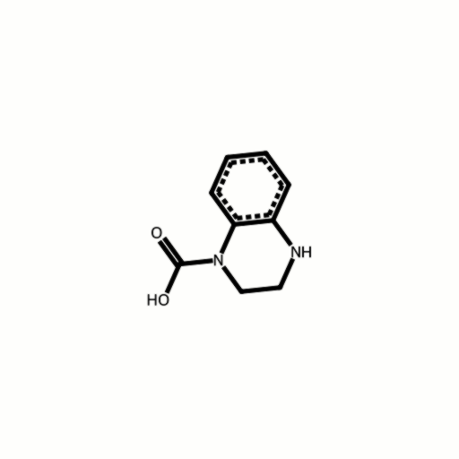 O=C(O)N1CCNc2ccccc21